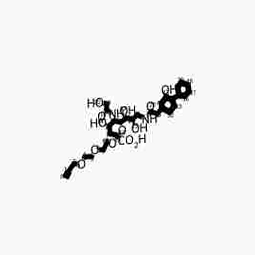 C#CCOCCOCCO[C@]1(C(=O)O)C[C@H](O)[C@@H](NC(=O)CO)[C@H]([C@H](O)[C@H](O)CNC(=O)Cc2ccc(-c3ccccc3)c(O)c2)O1